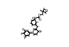 CC1(COC(=O)Nc2cccc(Cc3nn(-c4cc(F)c(F)c(F)c4)ccc3=O)c2)COC1